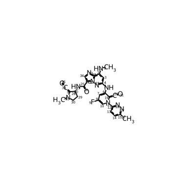 CNc1cc(NC2=CC(F)=CN(c3ccc(C)nn3)C2=C=O)nn2c(C(=O)N[C@@H]3CCN(C)C3=C=O)cnc12